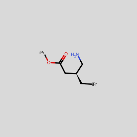 CC(C)C[C@H](CN)CC(=O)OC(C)C